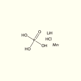 Cl.O=P(O)(O)O.[LiH].[Mn]